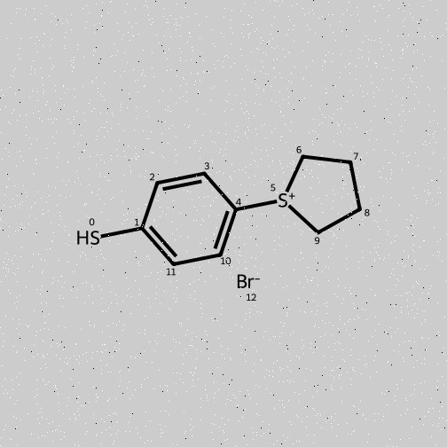 Sc1ccc([S+]2CCCC2)cc1.[Br-]